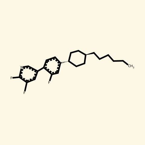 CCCCCC[C@H]1CC[C@H](c2ccc(-c3cnc(F)c(F)c3)c(F)c2)CC1